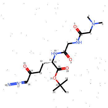 CN(C)CC(=O)NCC(=O)N[C@@H](CCC(=O)C=[N+]=[N-])C(=O)OC(C)(C)C